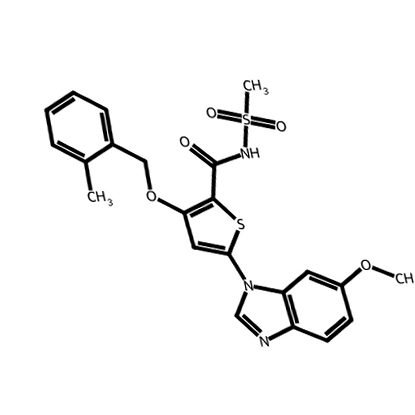 COc1ccc2ncn(-c3cc(OCc4ccccc4C)c(C(=O)NS(C)(=O)=O)s3)c2c1